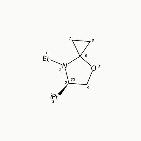 CCN1[C@H](C(C)C)COC12CC2